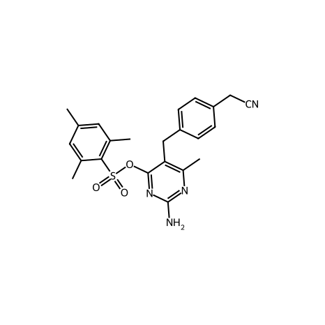 Cc1cc(C)c(S(=O)(=O)Oc2nc(N)nc(C)c2Cc2ccc(CC#N)cc2)c(C)c1